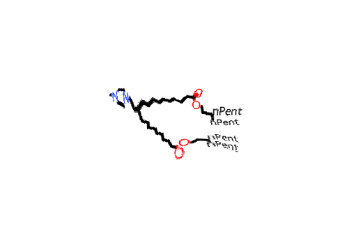 CCCCCC(CCCCC)CCOC(=O)CCCCCCCCCC(CCCCCCCCCC(=O)OCCC(CCCCC)CCCCC)CCN1CCN(C)CC1